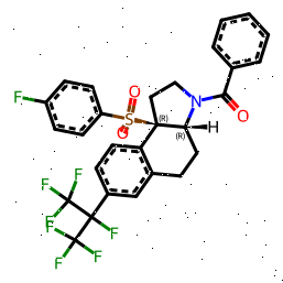 O=C(c1ccccc1)N1CC[C@@]2(S(=O)(=O)c3ccc(F)cc3)c3ccc(C(F)(C(F)(F)F)C(F)(F)F)cc3CC[C@@H]12